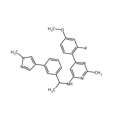 COc1ccc(-c2cc(NC(C)c3cccc(-c4cnn(C)c4)c3)nc(C)n2)c(F)c1